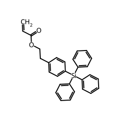 C=CC(=O)OCCc1ccc([Si](c2ccccc2)(c2ccccc2)c2ccccc2)cc1